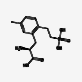 Cc1ccc(CCP(=O)(O)O)c(C[C@H](N)C(=O)O)c1